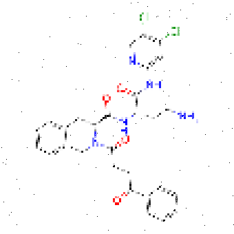 NCC[C@H](NC(=O)[C@@H]1Cc2ccccc2CN1C(=O)CCC(=O)c1ccccc1)C(=O)Nc1cc(Cl)c(Cl)cn1